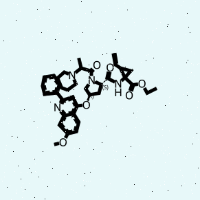 C=CC1CC1(NC(=O)[C@@H]1C[C@@H](Oc2cc(-c3ccccc3)nc3cc(OC)ccc23)CN1C(=O)C(C)N1CCCCC1)C(=O)OCC